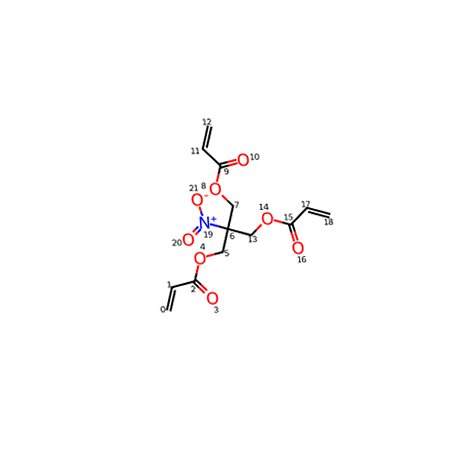 C=CC(=O)OCC(COC(=O)C=C)(COC(=O)C=C)[N+](=O)[O-]